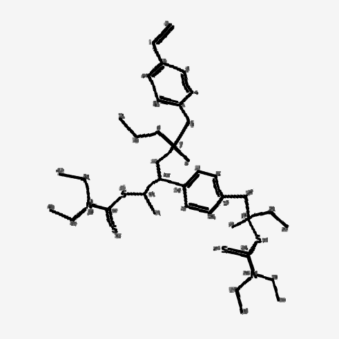 C=Cc1ccc(CC(C)(CCC)CC(c2ccc(CC(C)(CC)SC(=S)N(CC)CC)cc2)C(C)SC(=S)N(CC)CC)cc1